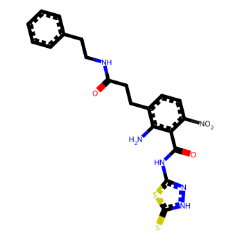 Nc1c(CCC(=O)NCCc2ccccc2)ccc([N+](=O)[O-])c1C(=O)Nc1n[nH]c(=S)s1